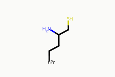 CCCCCC(N)CS